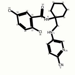 N#Cc1ccc(NCC2(NC(=O)c3cc(Cl)ccc3Cl)CCCCC2)cn1